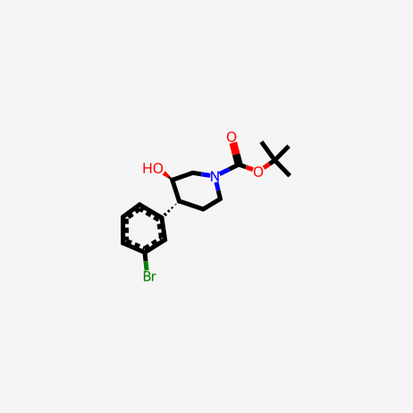 CC(C)(C)OC(=O)N1CC[C@H](c2cccc(Br)c2)[C@@H](O)C1